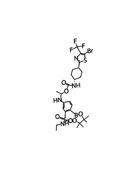 CCNS(=O)(=O)c1cc(NC(C)OC(=O)N[C@H]2CC[C@H](c3nc(C(F)(F)F)c(Br)s3)CC2)ccc1B1OC(C)(C)C(C)(C)O1